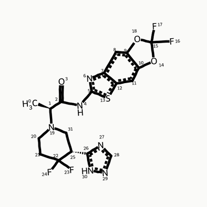 C[C@@H](C(=O)Nc1nc2cc3c(cc2s1)OC(F)(F)O3)N1CCC(F)(F)[C@@H](c2ncn[nH]2)C1